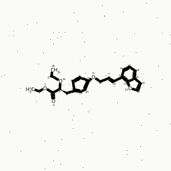 CCOC(=O)[C@H](Cc1ccc(OC/C=C/c2cccc3ccoc23)cc1)OCC